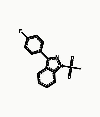 CS(=O)(=O)n1nc(-c2ccc(F)cc2)c2ccccc21